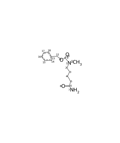 CN(CCCCC(N)=O)C(=O)OCc1ccccc1